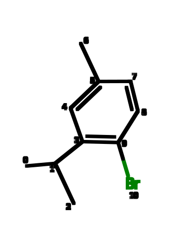 C[C](C)c1cc(C)ccc1Br